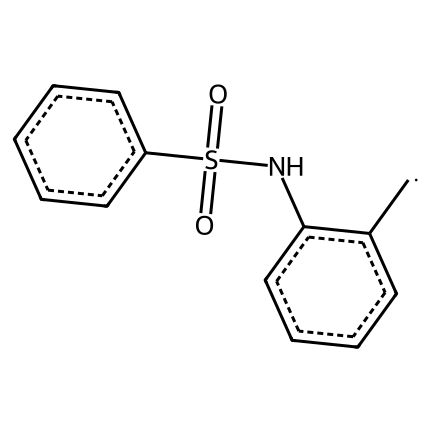 [CH2]c1ccccc1NS(=O)(=O)c1ccccc1